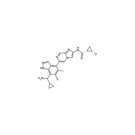 Cc1c(F)c(C(N)C2CC2)c2[nH]ncc2c1-c1cn2cc(NC(=O)[C@@H]3C[C@@H]3F)nc2cn1